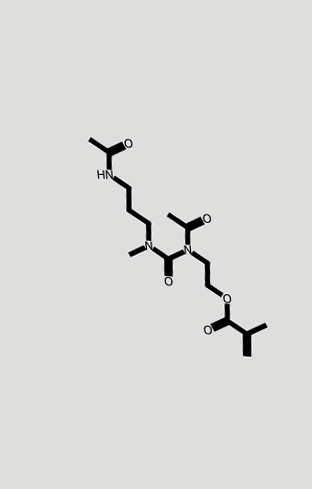 C=C(C)C(=O)OCCN(C(C)=O)C(=O)N(C)CCCNC(C)=O